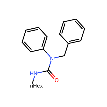 CCCCCCNC(=O)N(Cc1ccccc1)c1ccccc1